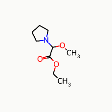 CCOC(=O)C(OC)N1CCCC1